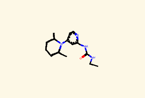 CCNC(=O)Nc1cc(N2C(C)CCCC2C)ccn1